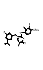 C=C(C)c1cc(F)cc(Cn2cc(F)c(=O)nc2Nc2ccc(OC)c(F)c2C)c1